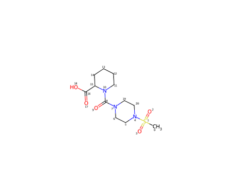 CS(=O)(=O)N1CCN(C(=O)N2CCCCC2C(=O)O)CC1